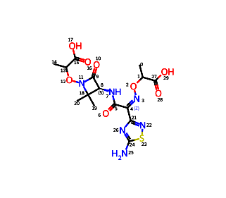 CC(O/N=C(\C(=O)N[C@@H]1C(=O)N(OC(C)C(=O)O)C1(C)C)c1nsc(N)n1)C(=O)O